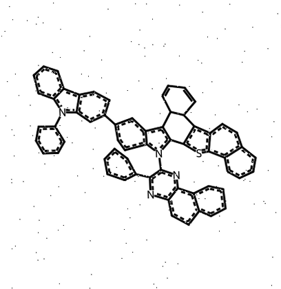 C1=CC2c3c(sc4c3ccc3ccccc34)-c3c(c4cc(-c5ccc6c7ccccc7n(-c7ccccc7)c6c5)ccc4n3-c3nc4c(ccc5ccccc54)nc3-c3ccccc3)C2C=C1